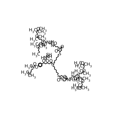 CCCCOC(C)(C)CC(=O)N(CCC(C)(C)OCCC(C)(C)OC)CC(=O)NCCNC(=O)CCN1C(=O)CC(SCCCCCCN(CCCCCCSC2CC(=O)N(CCC(=O)NCCNC(=O)CN(CCC(C)(C)OCCC(C)(C)OC)C(=O)CC(C)(C)OCCC(C)(C)OC)C2=O)C(=O)CCCC(OC(=O)NNS)c2ccc(OC(=O)N(C)CCCN(C)C)cc2)C1=O